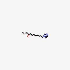 CNC(=O)CCCCCCCCn1ccnc1